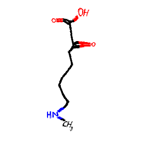 CNCCCCC(=O)C(=O)O